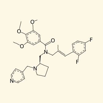 COc1cc(C(=O)N(C/C(C)=C/c2ccc(F)cc2F)C[C@H]2CCCN2Cc2ccncc2)cc(OC)c1OC